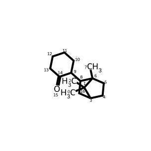 CC1(C)C2CCC1(C)C(C1CCCCC1=O)C2